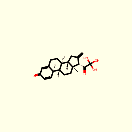 C=C1C[C@H]2[C@@H]3CCC4=CC(=O)C=C[C@]4(C)[C@H]3CC[C@]2(C)[C@H]1C(=O)C(O)(O)O